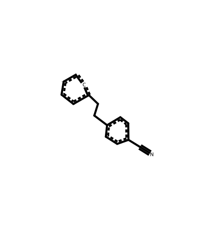 N#Cc1ccc(CCc2cc[c]cc2)cc1